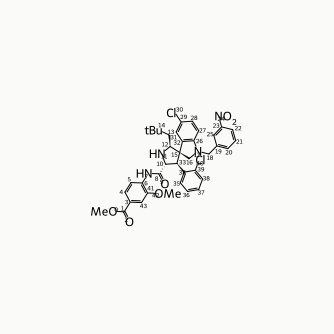 COC(=O)c1ccc(NC(=O)[C@@H]2N[C@@H](CC(C)(C)C)[C@@]3(CN(Cc4cccc([N+](=O)[O-])c4)c4ccc(Cl)cc43)[C@H]2c2ccccc2Cl)c(OC)c1